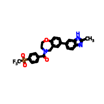 Cc1nc2ccc(-c3ccc4c(c3)CN(C(=O)c3ccc(S(=O)(=O)C(F)(F)F)cc3)CCO4)cc2[nH]1